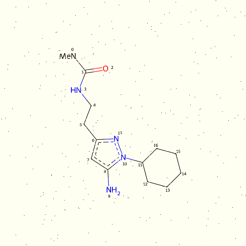 CNC(=O)NCCc1cc(N)n(C2CCCCC2)n1